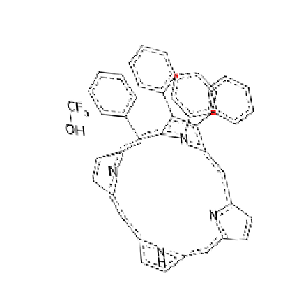 C1=Cc2cc3c(-c4ccccc4)c(-c4ccccc4)c(c(-c4ccccc4)c4nc(cc5ccc(cc1n2)[nH]5)C=C4)n3-c1ccccc1.OC(F)(F)F